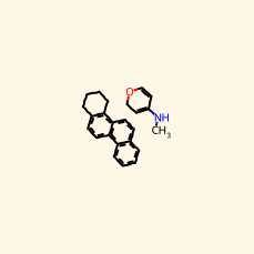 CNC1=CCOC=C1.c1ccc2c(c1)ccc1c3c(ccc12)CCCC3